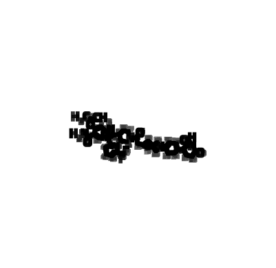 CC(C)Oc1cc2nc(C3CCN(C(=O)CC4CC5(C4)CN(c4ccc(C6CCC(=O)NC6=O)cc4)C5)CC3)c(-c3cccc(C(F)F)n3)n2cc1C(N)=O